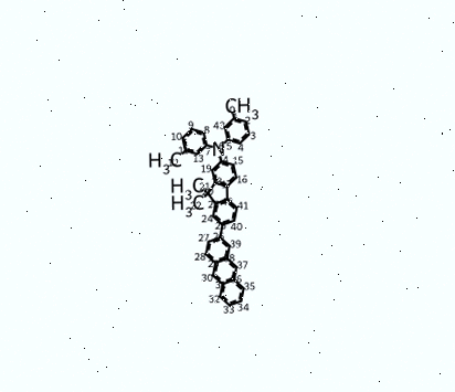 Cc1cccc(N(c2cccc(C)c2)c2ccc3c(c2)C(C)(C)c2cc(-c4ccc5cc6ccccc6cc5c4)ccc2-3)c1